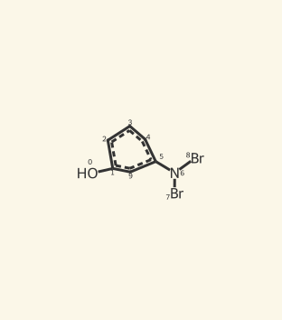 Oc1cccc(N(Br)Br)c1